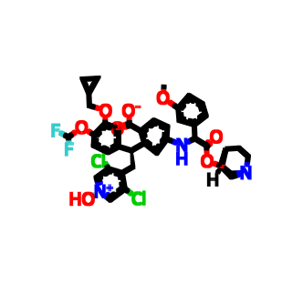 COc1cccc(C(Nc2ccc(C(=O)[O-])c([C@@H](Cc3c(Cl)c[n+](O)cc3Cl)c3ccc(OC(F)F)c(OCC4CC4)c3)c2)C(=O)O[C@H]2CN3CCC2CC3)c1